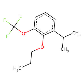 CCCOc1c(OC(F)(F)F)cccc1C(C)C